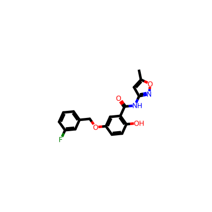 Cc1cc(NC(=O)c2cc(OCc3cccc(F)c3)ccc2O)no1